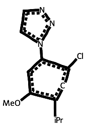 COc1cc(-n2ccnn2)c(Cl)cc1C(C)C